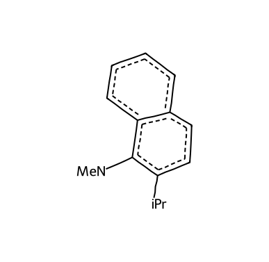 CNc1c(C(C)C)ccc2ccccc12